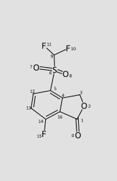 O=C1OCc2c(S(=O)(=O)C(F)F)ccc(F)c21